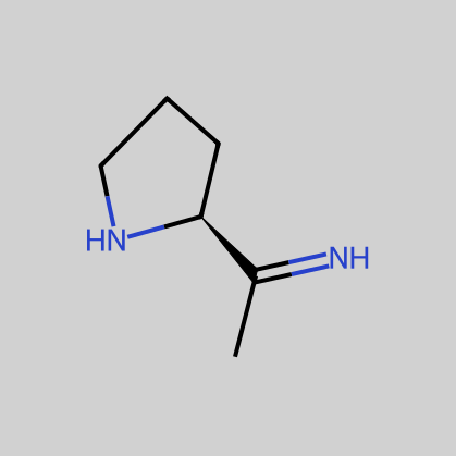 CC(=N)[C@@H]1CCCN1